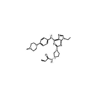 C=CC(=O)N[C@H]1CCN(c2nc(Nc3ccc(N4CCN(C)CC4)cc3)c3ncn(CC)c3n2)C1